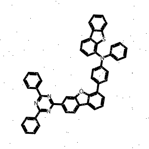 c1ccc(-c2nc(-c3ccccc3)nc(-c3ccc4c(c3)oc3c(-c5ccc(N(c6ccccc6)c6cccc7c6sc6ccccc67)cc5)cccc34)n2)cc1